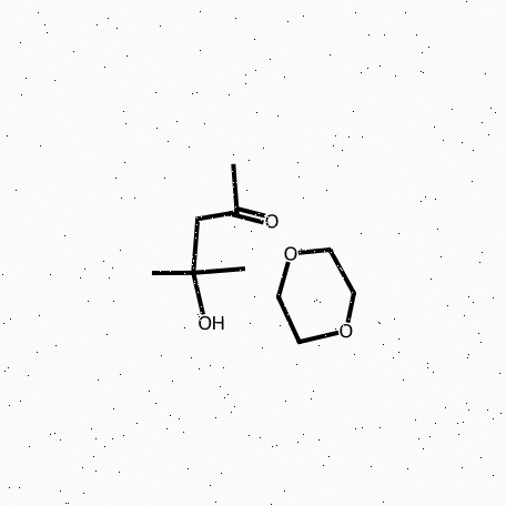 C1COCCO1.CC(=O)CC(C)(C)O